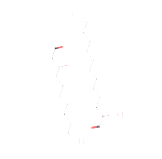 CCCCCCCCC(O)CC(=O)O.CCCCCCCCCCCC(O)C(=O)O